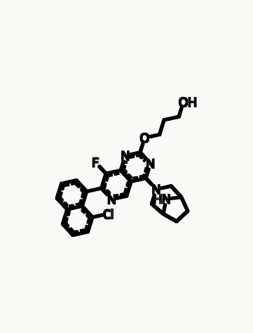 OCCCOc1nc(N2CC3CCC(C2)N3)c2cnc(-c3cccc4cccc(Cl)c34)c(F)c2n1